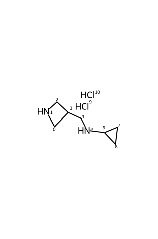 C1NCC1CNC1CC1.Cl.Cl